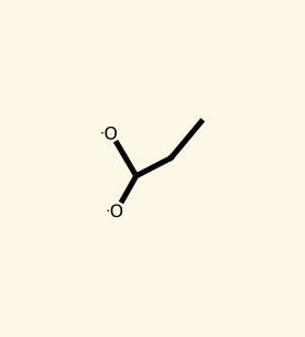 CCC([O])[O]